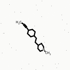 CC#CC1CCC(CCC2CCN(C)CC2)CC1